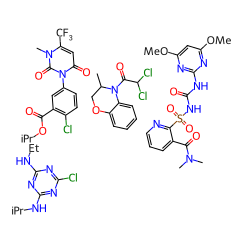 CC(C)OC(=O)c1cc(-n2c(=O)cc(C(F)(F)F)n(C)c2=O)ccc1Cl.CC1COc2ccccc2N1C(=O)C(Cl)Cl.CCNc1nc(Cl)nc(NC(C)C)n1.COc1cc(OC)nc(NC(=O)NS(=O)(=O)c2ncccc2C(=O)N(C)C)n1